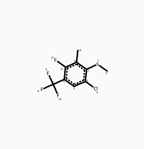 CSc1c(Cl)cc(C(F)(F)F)c(F)c1C